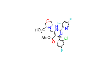 COC(=O)C1=C(CN2CCOCC2C(=O)O)NC(c2ncc(F)cc2F)=N[C@H]1c1ccc(F)cc1Cl